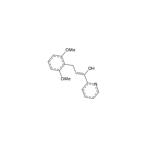 COc1cccc(OC)c1C/C=C(\O)c1ccccn1